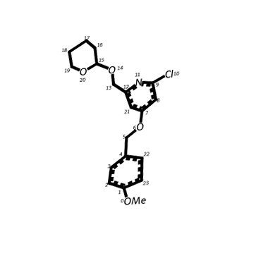 COc1ccc(COc2cc(Cl)nc(COC3CCCCO3)c2)cc1